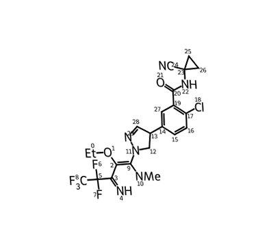 CCO/C(C(=N)C(F)(F)C(F)(F)F)=C(/NC)N1CC(c2ccc(Cl)c(C(=O)NC3(C#N)CC3)c2)C=N1